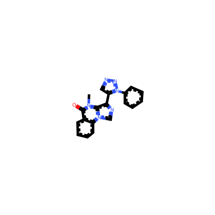 Cn1c(=O)c2ccccc2n2cnc(-c3cnnn3-c3ccccc3)c12